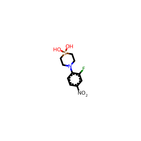 O=[N+]([O-])c1ccc(N2CCS(O)(O)CC2)c(F)c1